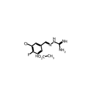 CC(=O)O.N=C(N)NN=Cc1ccc(F)c(Cl)c1